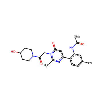 COC(=O)Nc1cc(C#N)ccc1-c1cc(=O)n(CC(=O)N2CCC(O)CC2)c(C)n1